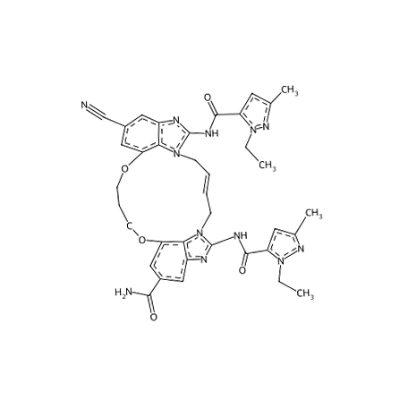 CCn1nc(C)cc1C(=O)Nc1nc2cc(C#N)cc3c2n1C/C=C/Cn1c(NC(=O)c2cc(C)nn2CC)nc2cc(C(N)=O)cc(c21)OCCCO3